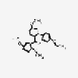 CCOc1ccc(C2CC(OC)CCC2C(=O)c2cc(OC)ccc2OC)cc1